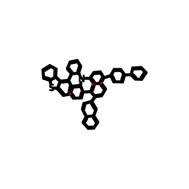 c1ccc(-c2ccc(-c3ccc(N(c4ccccc4-c4ccccc4-c4ccc5ccccc5c4)c4ccccc4-c4cccc5sc6ccccc6c45)cc3)cc2)cc1